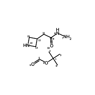 CC(C)(C)OC=O.NNC(=O)CC1CNC1